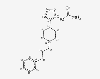 NC(=O)Oc1ccsc1C1CCN(C[CH]Cc2ccccc2)CC1